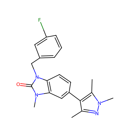 Cc1nn(C)c(C)c1-c1ccc2c(c1)n(C)c(=O)n2Cc1cccc(F)c1